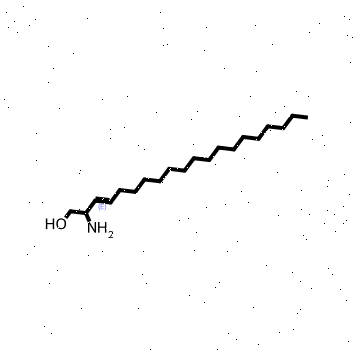 CCCCCCCCCCCCCCCC/C=C/C(N)CO